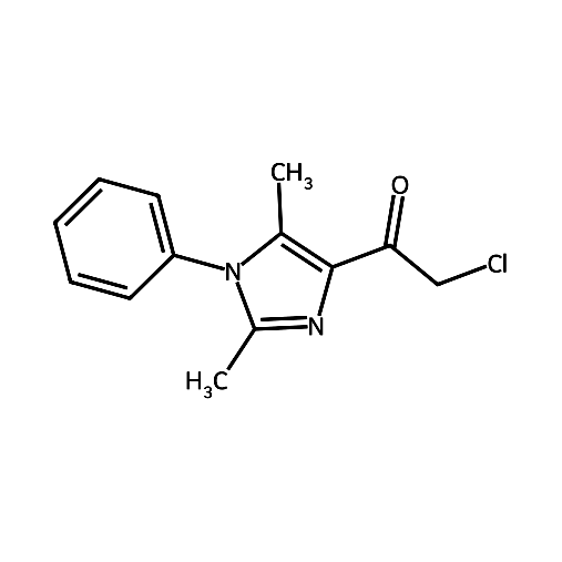 Cc1nc(C(=O)CCl)c(C)n1-c1ccccc1